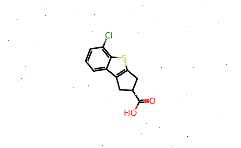 O=C(O)C1Cc2sc3c(Cl)cccc3c2C1